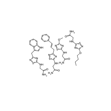 CCCCOc1nsc(NCC(N)=O)n1.COc1nsc(NCC(N)=O)n1.NC(=O)CNc1nc(CC=Cc2ccccc2)ns1.NC(=O)CNc1nc(Cc2c[nH]c3ccccc23)ns1